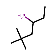 CCC(P)CC(C)(C)C